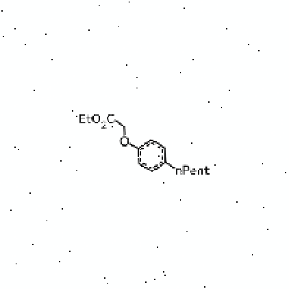 CCCCCc1ccc(OCC(=O)OCC)cc1